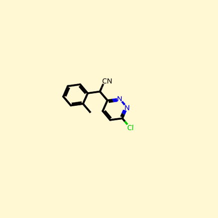 Cc1ccccc1C(C#N)c1ccc(Cl)nn1